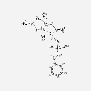 OC1C[C@@H]2[C@@H](/C=C/C(F)(F)COc3ccccc3)[C@H](O)C[C@@H]2O1